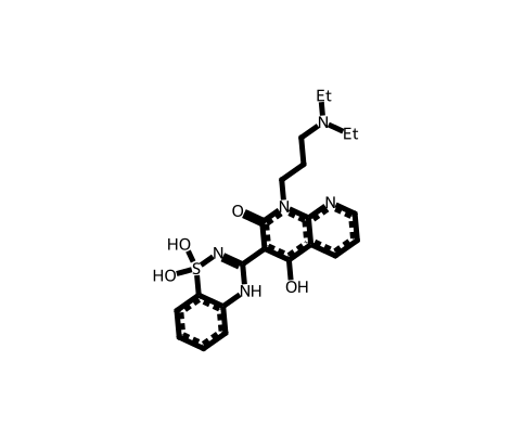 CCN(CC)CCCn1c(=O)c(C2=NS(O)(O)c3ccccc3N2)c(O)c2cccnc21